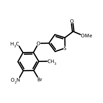 COC(=O)c1cc(Oc2c(C)cc([N+](=O)[O-])c(Br)c2C)cs1